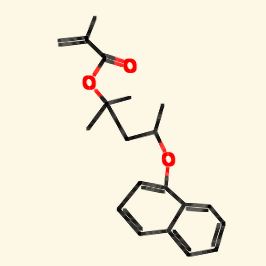 C=C(C)C(=O)OC(C)(C)CC(C)Oc1cccc2ccccc12